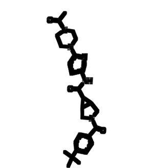 CC(=O)N1CCN(c2ccc(NC(=O)C3C4CN(C(=O)c5ccc(C(C)(C)C)cc5)CC43)cn2)CC1